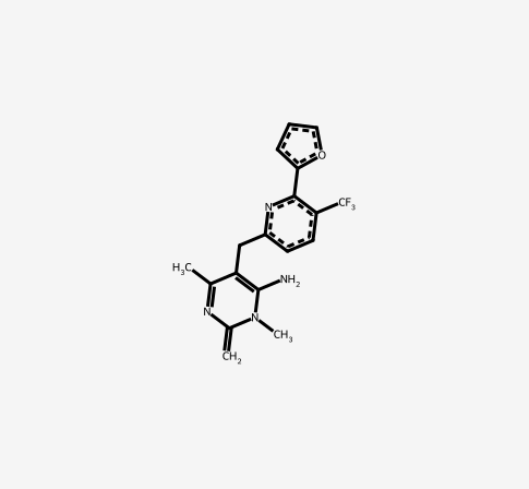 C=C1N=C(C)C(Cc2ccc(C(F)(F)F)c(-c3ccco3)n2)=C(N)N1C